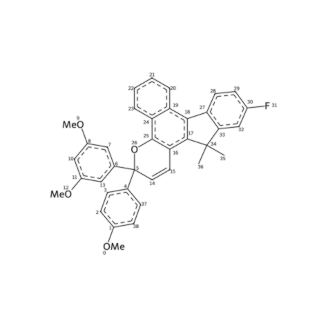 COc1ccc(C2(c3cc(OC)cc(OC)c3)C=Cc3c4c(c5ccccc5c3O2)-c2ccc(F)cc2C4(C)C)cc1